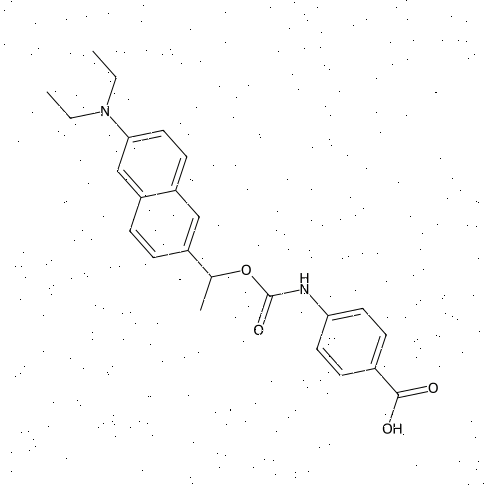 CCN(CC)c1ccc2cc(C(C)OC(=O)Nc3ccc(C(=O)O)cc3)ccc2c1